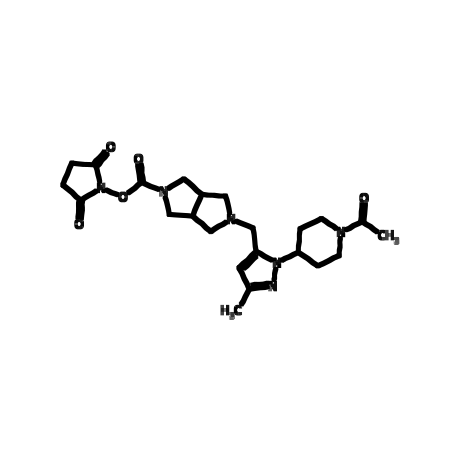 CC(=O)N1CCC(n2nc(C)cc2CN2CC3CN(C(=O)ON4C(=O)CCC4=O)CC3C2)CC1